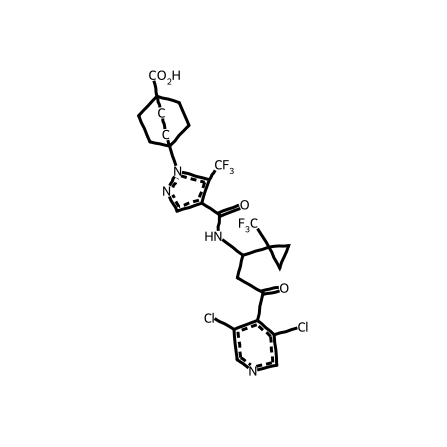 O=C(NC(CC(=O)c1c(Cl)cncc1Cl)C1(C(F)(F)F)CC1)c1cnn(C23CCC(C(=O)O)(CC2)CC3)c1C(F)(F)F